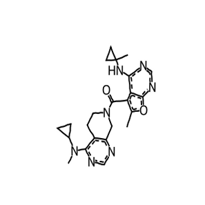 Cc1oc2ncnc(NC3(C)CC3)c2c1C(=O)N1CCc2c(ncnc2N(C)C2CC2)C1